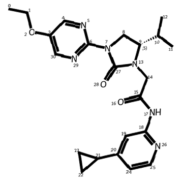 CCOc1cnc(N2C[C@H](C(C)C)N(CC(=O)Nc3cc(C4CC4)ccn3)C2=O)nc1